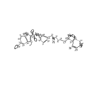 Cc1c(S(=O)(=O)Nc2cccc(CNCCCCc3noc4cc(F)ccc34)c2)sc2ccc(Cl)cc12